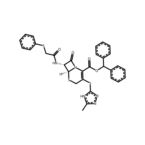 Cc1nnc(SC2=C(C(=O)OC(c3ccccc3)c3ccccc3)N3C(=O)[C@@H](NC(=O)CSc4ccccc4)[C@@H]3SC2)[nH]1